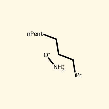 CCCCCCCCC(C)C.[NH3+][O-]